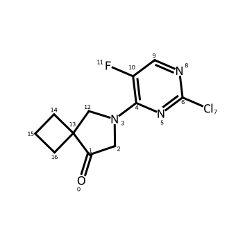 O=C1CN(c2nc(Cl)ncc2F)CC12CCC2